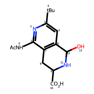 CC(=O)Nc1nc(C(C)(C)C)cc2c1CC(C(=O)O)NC2O